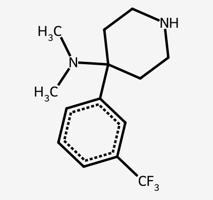 CN(C)C1(c2cccc(C(F)(F)F)c2)CCNCC1